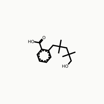 CC(C)(CO)CC(C)(C)Cc1ccccc1C(=O)O